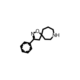 c1ccc(C2=NOC3(CCCNCC3)C2)cc1